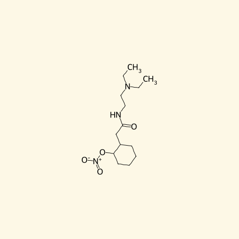 CCN(CC)CCNC(=O)CC1CCCCC1O[N+](=O)[O-]